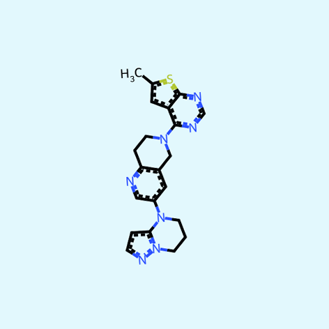 Cc1cc2c(N3CCc4ncc(N5CCCn6nccc65)cc4C3)ncnc2s1